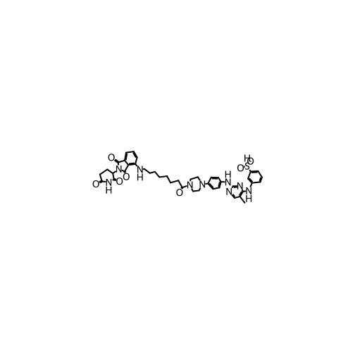 Cc1cnc(Nc2ccc(N3CCN(C(=O)CCCCCCCNc4cccc5c4C(=O)N(C4CCC(=O)NC4=O)C5=O)CC3)cc2)nc1Nc1cccc([SH](=O)=O)c1